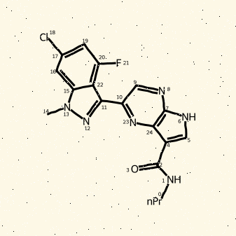 CCCNC(=O)c1c[nH]c2ncc(-c3nn(C)c4cc(Cl)cc(F)c34)nc12